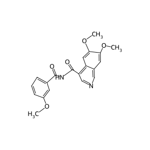 COc1cccc(C(=O)NC(=O)c2cncc3cc(OC)c(OC)cc23)c1